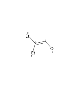 CCC(=C[O])CC